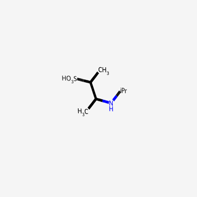 CC(C)NC(C)C(C)S(=O)(=O)O